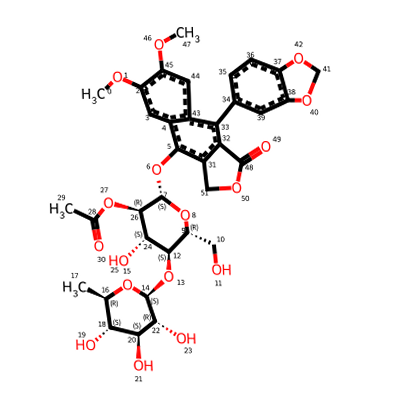 COc1cc2c(O[C@@H]3O[C@H](CO)[C@@H](O[C@@H]4O[C@H](C)[C@@H](O)[C@H](O)[C@H]4O)[C@H](O)[C@H]3OC(C)=O)c3c(c(-c4ccc5c(c4)OCO5)c2cc1OC)C(=O)OC3